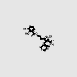 CCn1nc(CCCOC(=O)c2cccc(O)c2O)c2c1C(=O)NCC1(CCOCC1)C2